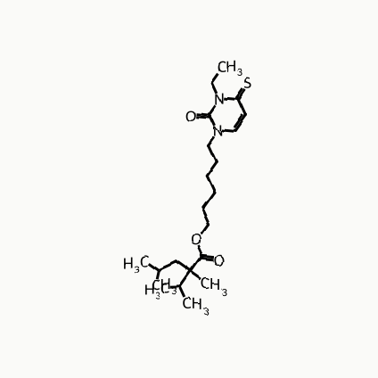 CCn1c(=S)ccn(CCCCCCOC(=O)C(C)(CC(C)C)C(C)C)c1=O